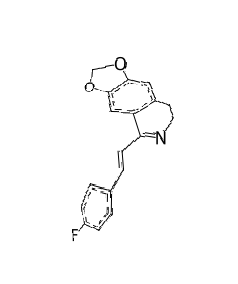 Fc1ccc(C=CC2=NCCc3cc4c(cc32)OCO4)cc1